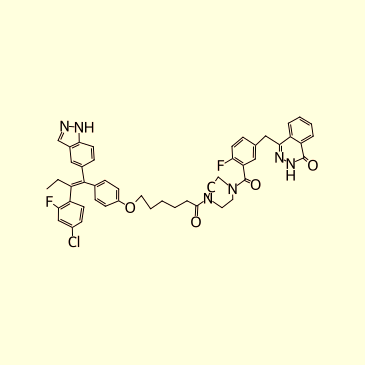 CCC(=C(c1ccc(OCCCCCC(=O)N2CCN(C(=O)c3cc(Cc4n[nH]c(=O)c5ccccc45)ccc3F)CC2)cc1)c1ccc2[nH]ncc2c1)c1ccc(Cl)cc1F